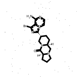 Nc1nccn2c([C@@H]3CC[C@H]4CN5CCC[C@H]5C(=O)N4C3)nc(Br)c12